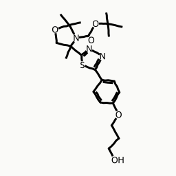 CC(C)(C)OC(=O)N1C(C)(C)OCC1(C)c1nnc(-c2ccc(OCCCO)cc2)s1